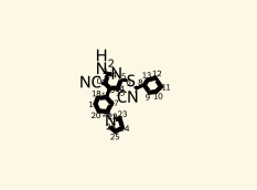 N#Cc1c(N)nc(SCc2ccccc2)c(C#N)c1-c1cccc(-n2cccc2)c1